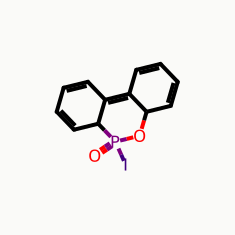 O=P1(I)OC2C=CC=CC2=C2C=CC=CC21